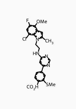 COc1c(F)cc(Cl)c2c1cc(C)n2CCNc1cc(-c2ccc(C(=O)O)c(SC)c2)ncn1